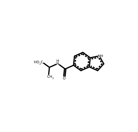 CC(NC(=O)c1ccc2[nH]ccc2c1)C(=O)O